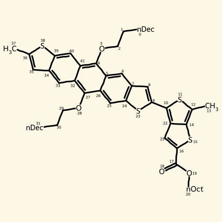 CCCCCCCCCCCCOc1c2cc3cc(-c4sc(C)c5sc(C(=O)OCCCCCCCC)cc45)sc3cc2c(OCCCCCCCCCCCC)c2cc3cc(C)sc3cc12